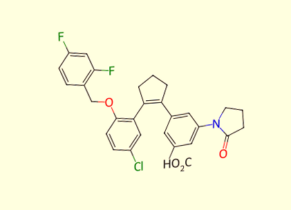 O=C(O)c1cc(C2=C(c3cc(Cl)ccc3OCc3ccc(F)cc3F)CCC2)cc(N2CCCC2=O)c1